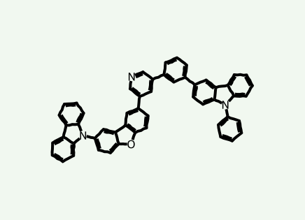 c1ccc(-n2c3ccccc3c3cc(-c4cccc(-c5cncc(-c6ccc7oc8ccc(-n9c%10ccccc%10c%10ccccc%109)cc8c7c6)c5)c4)ccc32)cc1